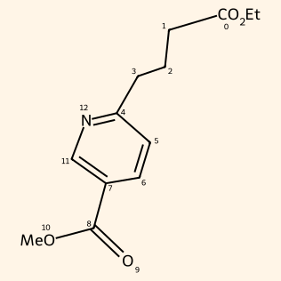 CCOC(=O)CCCc1ccc(C(=O)OC)cn1